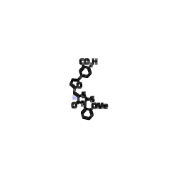 COc1ccccc1N1C(=O)/C(=C/c2ccc(-c3cccc(C(=O)O)c3)o2)SC1=S